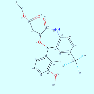 CCOC(=O)CC1OC(c2cccc(OC)c2C)c2cc(C(F)(F)F)ccc2NC1=O